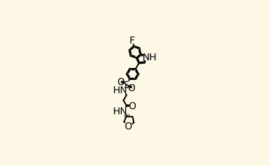 O=C(CCNS(=O)(=O)c1ccc(-c2c[nH]c3cc(F)ccc23)cc1)N[C@H]1CCOC1